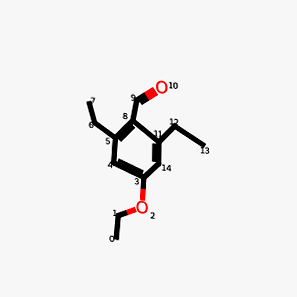 CCOc1cc(CC)c(C=O)c(CC)c1